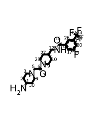 NC1CCN(CC(=O)N2CCC(CNC(=O)c3cc(F)cc(C(F)(F)F)c3)CC2)CC1